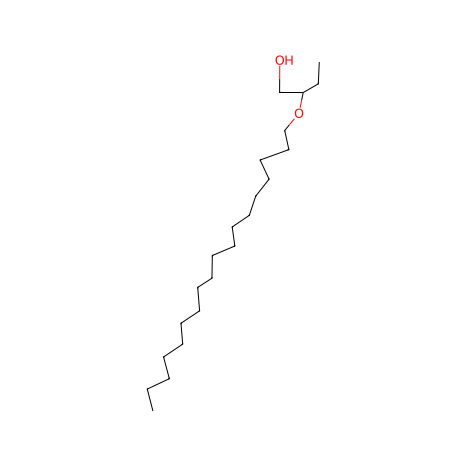 CCCCCCCCCCCCCCCCCCOC(CC)CO